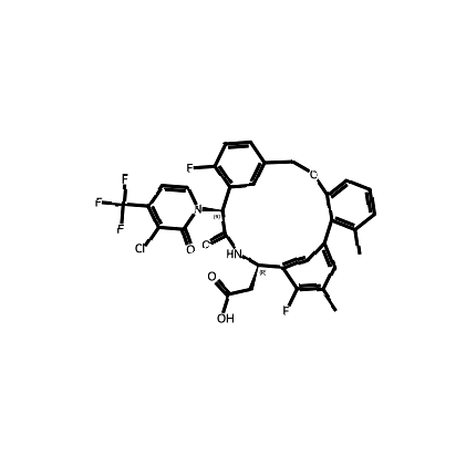 Cc1cc2cc(c1F)[C@@H](CC(=O)O)NC(=O)[C@@H](n1ccc(C(F)(F)F)c(Cl)c1=O)c1cc(ccc1F)COc1cccc(C)c1-2